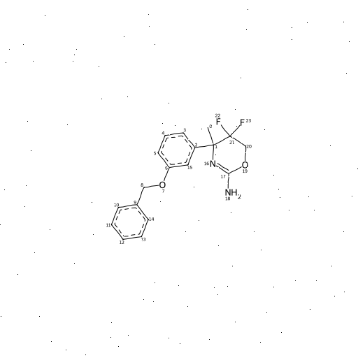 CC1(c2cccc(OCc3ccccc3)c2)N=C(N)OCC1(F)F